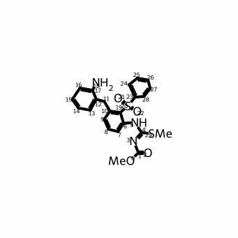 COC(=O)N=C(Nc1cccc(Cc2ccccc2N)c1S(=O)(=O)c1ccccc1)SC